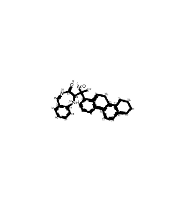 CC(=O)OC(I)(c1cccc2c1=CCc1c3c(ccc1=2)=CCCC3)C1Nc2ccccc2C=NC1=O